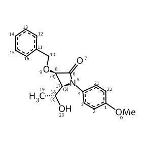 COc1ccc(N2C(=O)[C@H](OCc3ccccc3)[C@@H]2[C@@H](C)O)cc1